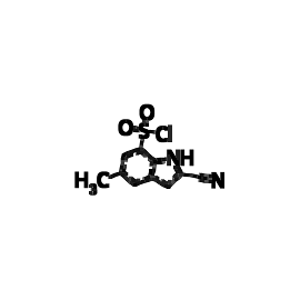 Cc1cc(S(=O)(=O)Cl)c2[nH]c(C#N)cc2c1